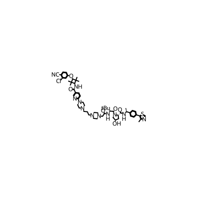 Cc1ncsc1-c1ccc([C@H](C)NC(=O)[C@@H]2C[C@@H](O)CN2C(=O)[C@@H](NC(=O)CN2CCN(CCCN3CCN(c4ccc(C(=O)NC5C(C)(C)C(Oc6ccc(C#N)c(Cl)c6)C5(C)C)cn4)CC3)CC2)C(C)(C)C)cc1